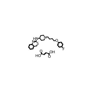 Fc1ccc(OCCCCN2CCC(NC3=Nc4ccccc4CS3)CC2)cc1.O=C(O)C=CC(=O)O